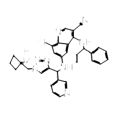 CCC(Nc1c(C#N)cnc2c(Cl)cc(NC(c3cccnc3)c3cn(CC4(O)CCC4)nn3)cc12)c1ccccc1